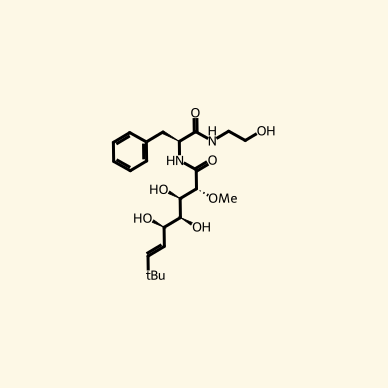 CO[C@@H](C(=O)N[C@@H](Cc1ccccc1)C(=O)NCCO)[C@H](O)[C@@H](O)[C@H](O)/C=C/C(C)(C)C